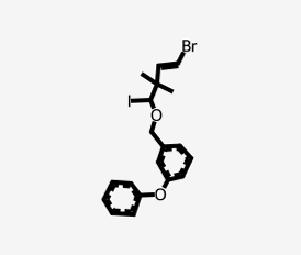 CC(C)(C=CBr)C(I)OCc1cccc(Oc2ccccc2)c1